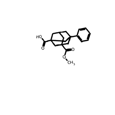 COC(=O)C12CC3CC(C(=O)O)(C1)CC(c1ccccc1)(C3)C2